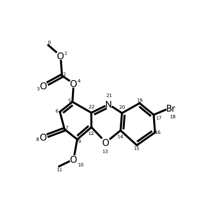 COC(=O)Oc1cc(=O)c(OC)c2oc3ccc(Br)cc3nc1-2